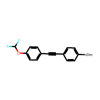 CCCCCCCCCCc1ccc(C#Cc2ccc(OC(F)F)cc2)cc1